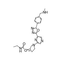 CCNC(=O)O[C@@H]1CCN(c2cncc(-c3nnc(-c4ccc(CNC)cc4)o3)n2)C1